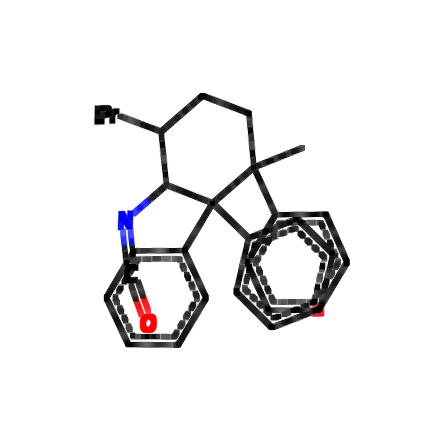 CC(C)C1CCC(C)(c2ccccc2)C(c2ccccc2)(c2ccccc2)C1N=C=O